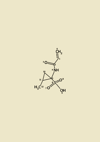 C=CC(=O)NC1(S(=O)(=O)O)CC1C